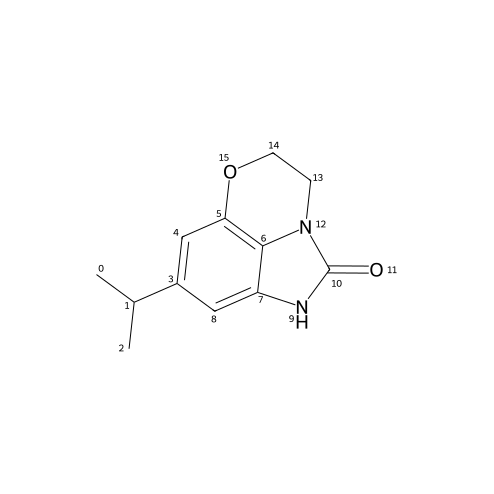 CC(C)c1cc2c3c(c1)[nH]c(=O)n3CCO2